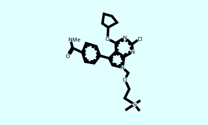 CNC(=O)c1ccc(-c2cn(COCC[Si](C)(C)C)c3nc(Cl)nc(OC4CCCC4)c23)cc1